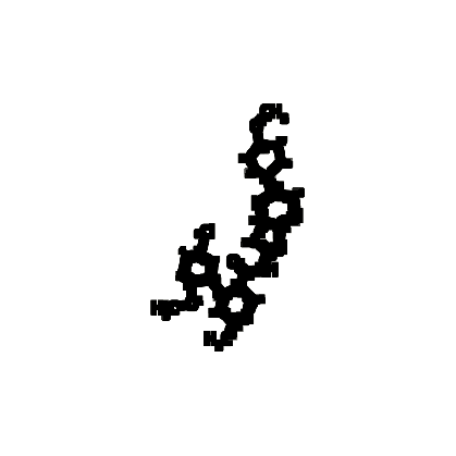 COc1ccc(Cl)cc1-c1cc(C)ncc1C(=O)Nc1nc2ncc(N3CCC(OC)CC3)nc2s1